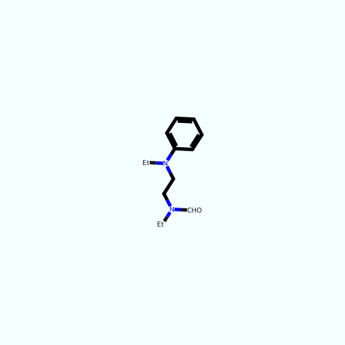 CCN(C=O)CCN(CC)c1ccccc1